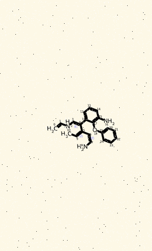 C=CN\C=C(C(/C=C\N)=C\C)\c1cccc(N)c1Oc1ccccc1